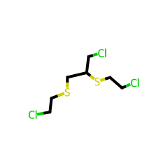 ClCCSCC(CCl)SCCCl